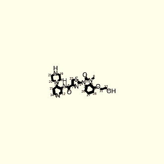 Cn1c(=O)n(-c2nc(C(=O)Nc3cnccc3N3CCNCC3)cs2)c2cccc(OCCO)c21